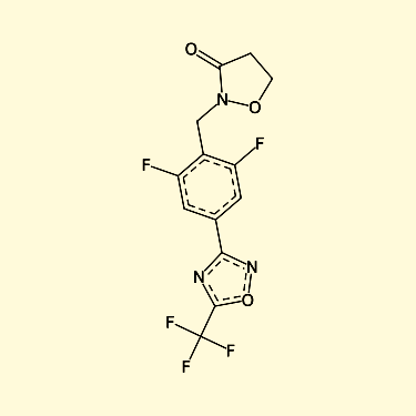 O=C1CCON1Cc1c(F)cc(-c2noc(C(F)(F)F)n2)cc1F